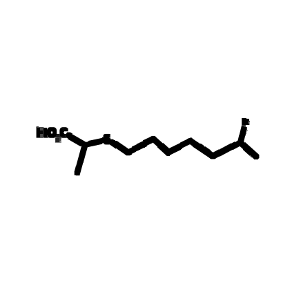 CCOC(=O)C(C)SCCCCCC(C)F